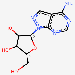 Nc1ncnc2c1cnn2[C@H]1O[C@@H](CO)C(O)C1O